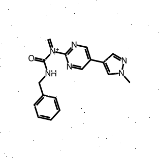 C=[N+](C(=O)NCc1ccccc1)c1ncc(-c2cnn(C)c2)cn1